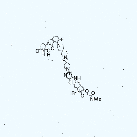 CNC(=O)COc1cc2cc(Nc3nc(N4CCC(F)(CN5CCC6(CC5)CCN(c5c(F)ccc7c5C(=O)N(C5CCC(=O)NC5O)C7)CC6)CC4)ncc3Cl)ccc2n(C(C)C)c1=O